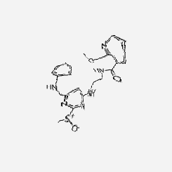 COc1ncccc1C(=O)NCCNc1cc(Nc2ccccc2)nc([S+](C)[O-])n1